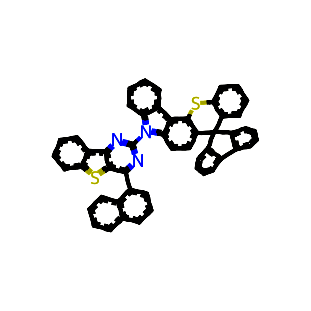 c1ccc2c(c1)Sc1c(ccc3c1c1ccccc1n3-c1nc(-c3cccc4ccccc34)c3sc4ccccc4c3n1)C21c2ccccc2-c2ccccc21